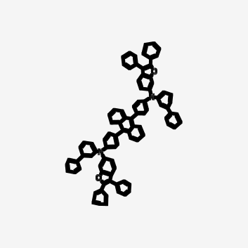 c1ccc(-c2cccc(N(c3ccc(-c4c5ccccc5c(-c5ccc(N(c6cccc(-c7ccccc7)c6)c6ccc7c(-c8ccccc8)c(-c8ccccc8)oc7c6)cc5)c5ccccc45)cc3)c3ccc4c(-c5ccccc5)c(-c5ccccc5)oc4c3)c2)cc1